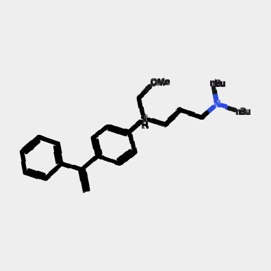 C=C(c1ccccc1)c1ccc([SiH](CCCN(CCCC)CCCC)COC)cc1